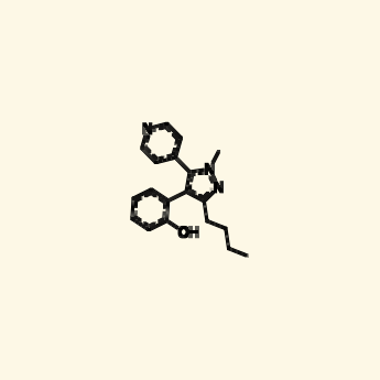 CCCCc1nn(C)c(-c2ccncc2)c1-c1ccccc1O